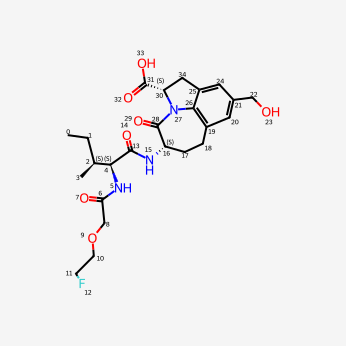 CC[C@H](C)[C@H](NC(=O)COCCF)C(=O)N[C@H]1CCc2cc(CO)cc3c2N(C1=O)[C@H](C(=O)O)C3